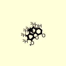 [2H]c1c([2H])c2c3c(c1OC)OC1C(=O)CC[C@]4(O)[C@@]31CCN(C)[C@]4([2H])C2([2H])[2H]